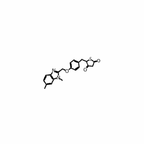 Cc1ccc2nc(COc3ccc(CC4SC(=O)CC4=O)cc3)n(C)c2c1